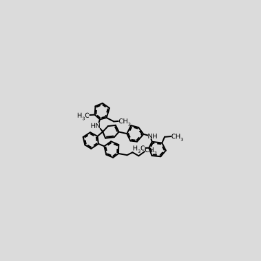 CCCCc1ccc(-c2ccccc2C2(Nc3c(C)cccc3CC)C=CC(c3ccc(Nc4c(C)cccc4CC)cc3)=CC2)cc1